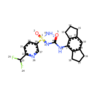 N[S@](=O)(=NC(=O)Nc1c2c(cc3c1CCC3)CCC2)c1ccc(C(F)F)nc1